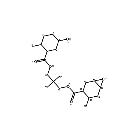 CC1CCC(O)CC1C(=O)OCC(C)(C)COC(=O)C1CC2OC2CC1C